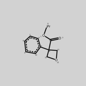 CC(C)OC(=O)C1(c2cc[c]cc2)COC1